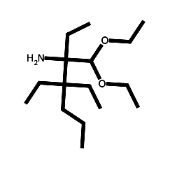 CCCC(CC)(CC)C(N)(CC)C(OCC)OCC